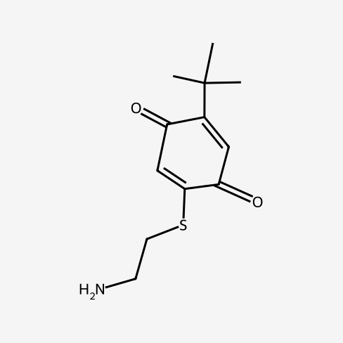 CC(C)(C)C1=CC(=O)C(SCCN)=CC1=O